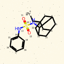 CC(C)CC12CC3CC(C1)C(NS(=O)(=O)Nc1ccccc1)C(C3)C2